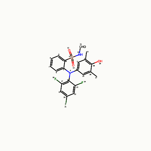 Cc1cc(N(c2ccccc2S(=O)(=O)NC=O)c2c(F)cc(F)cc2F)cc(C)c1O